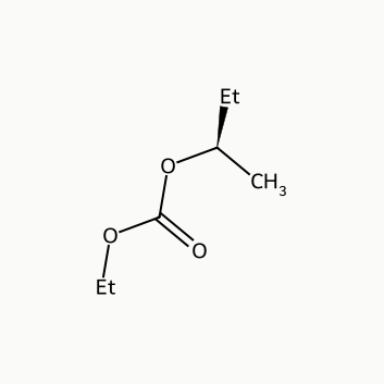 CCOC(=O)O[C@H](C)CC